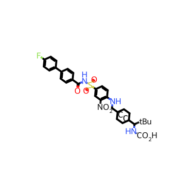 CC(C)(C)C(NC(=O)O)C12CCC(CNc3ccc(S(=O)(=O)NC(=O)c4ccc(-c5ccc(F)cc5)cc4)cc3[N+](=O)[O-])(CC1)CC2